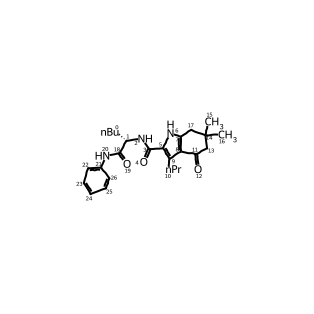 CCCC[C@H](NC(=O)c1[nH]c2c(c1CCC)C(=O)CC(C)(C)C2)C(=O)Nc1ccccc1